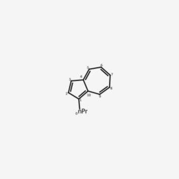 [CH2]CCc1ccc2cccccc1-2